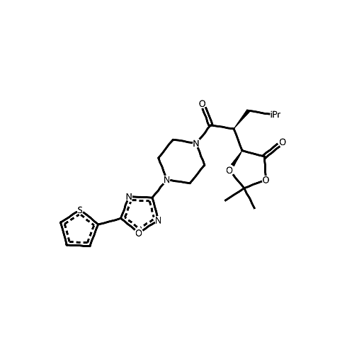 CC(C)C[C@H](C(=O)N1CCN(c2noc(-c3cccs3)n2)CC1)[C@@H]1OC(C)(C)OC1=O